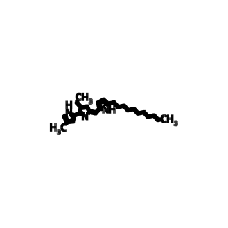 CCCCCCCCCCCc1ccc(/C=C2\C=C(CC)C(c3cc(C)c[nH]3)=N2)[nH]1